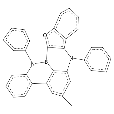 Cc1cc2c3c(c1)N(c1ccccc1)c1c(oc4ccccc14)B3N(c1ccccc1)c1ccccc1-2